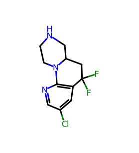 FC1(F)CC2CNCCN2c2ncc(Cl)cc21